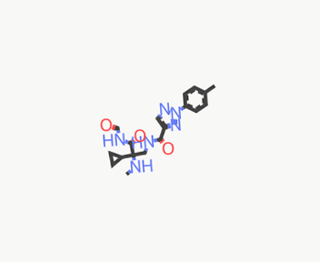 CNC(CNC(=O)c1cnn(-c2ccc(C)cc2)n1)(C(=O)NC=O)C1CC1